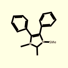 CSN1C(c2ccccc2)=C(c2ccccc2)N(C)C1C